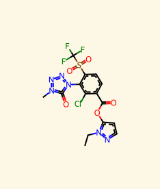 CCn1nccc1OC(=O)c1ccc(S(=O)(=O)C(F)(F)F)c(-n2nnn(C)c2=O)c1Cl